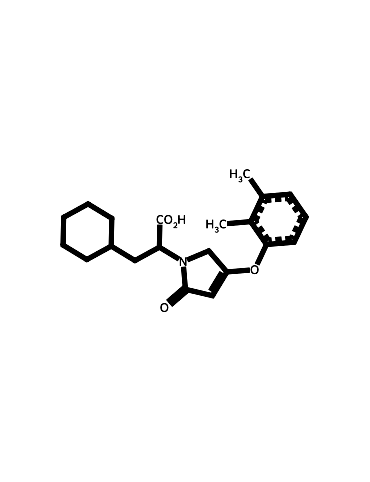 Cc1cccc(OC2=CC(=O)N(C(CC3CCCCC3)C(=O)O)C2)c1C